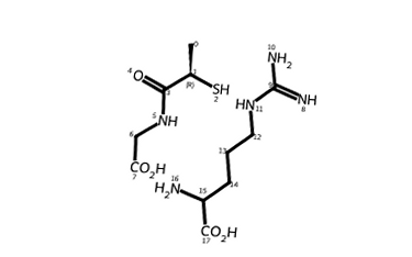 C[C@@H](S)C(=O)NCC(=O)O.N=C(N)NCCCC(N)C(=O)O